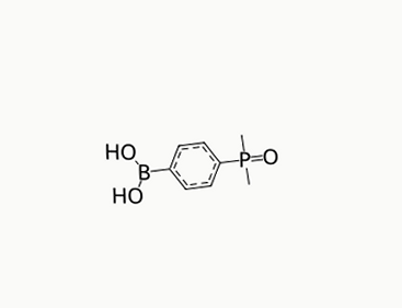 CP(C)(=O)c1ccc(B(O)O)cc1